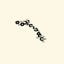 Nc1ncnc2c1c(-c1ccc(Oc3ccccc3)cc1)nn2C1CCN(CCN2CCC(Sc3ccc4c(c3)CN(C3CCC(=O)NC3=O)C4=O)CC2)CC1